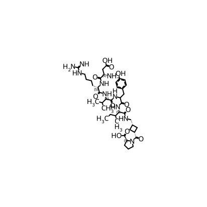 CCC(C)[C@H](NC(=O)C(Cc1ccc(O)cc1)NC(=O)[C@@H](NC(=O)[C@H](CCCCNC(=N)N)NC(=O)[C@@H](N)CC(=O)O)C(C)C)C(=O)NC[C@H]1C[C@@H](C(=O)N2CCC[C@H]2C(=O)O)C1